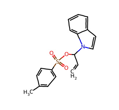 C=CC(OS(=O)(=O)c1ccc(C)cc1)n1ccc2ccccc21